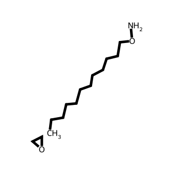 C1CO1.CCCCCCCCCCCCON